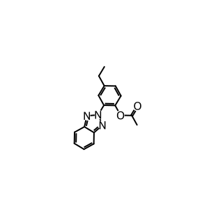 CCc1ccc(OC(C)=O)c(-n2nc3ccccc3n2)c1